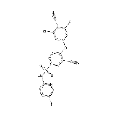 N#Cc1cc(S(=O)(=O)Nc2ccc(F)cn2)ccc1Oc1cc(F)c(C#N)c(Cl)c1